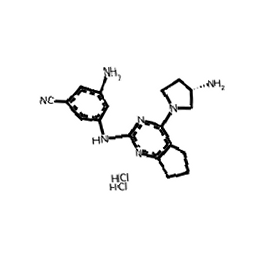 Cl.Cl.N#Cc1cc(N)cc(Nc2nc3c(c(N4CC[C@H](N)C4)n2)CCC3)c1